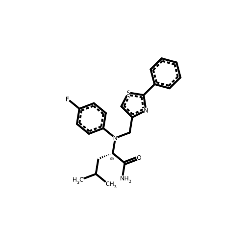 CC(C)C[C@@H](C(N)=O)N(Cc1csc(-c2ccccc2)n1)c1ccc(F)cc1